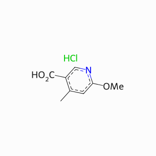 COc1cc(C)c(C(=O)O)cn1.Cl